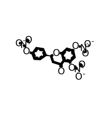 O=C1C[C@@H](c2ccc(O[N+](=O)[O-])cc2)Oc2cc(O[N+](=O)[O-])cc(O[N+](=O)[O-])c21